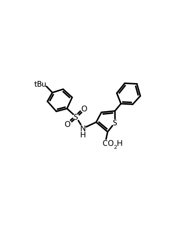 CC(C)(C)c1ccc(S(=O)(=O)Nc2cc(-c3ccccc3)sc2C(=O)O)cc1